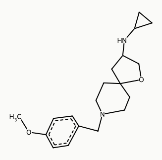 COc1ccc(CN2CCC3(CC2)CC(NC2CC2)CO3)cc1